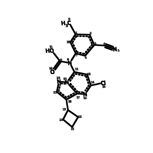 Cc1cc(C#N)cc(N(C(=O)O)c2cc(Cl)nc3c(C4CCC4)cnn23)c1